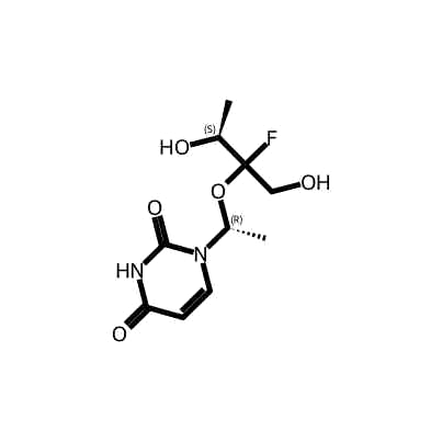 C[C@H](O)C(F)(CO)O[C@H](C)n1ccc(=O)[nH]c1=O